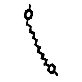 Cc1ccc(OCC=CCOCOCC=CCOc2ccc(C)cc2)cc1